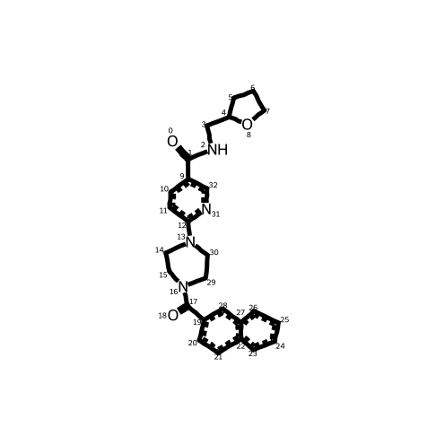 O=C(NCC1CCCO1)c1ccc(N2CCN(C(=O)c3ccc4ccccc4c3)CC2)nc1